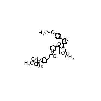 CCCOc1ccc(-c2cncc([C@H](CC(=O)OC)NC(=O)[C@@H]3CCCN(C(=O)CCC4CCN(C(=O)OC(C)(C)C)CC4)C3)c2)cc1